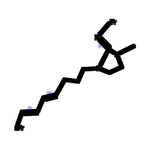 CCC/C=C/C=C/CCCN1CCN(C)/C1=N\C(C)C